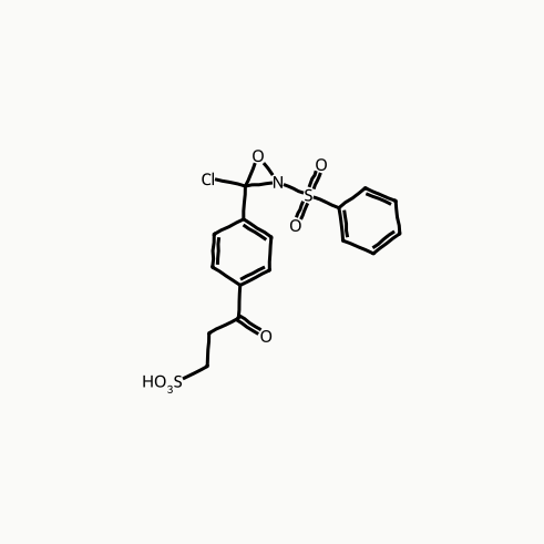 O=C(CCS(=O)(=O)O)c1ccc(C2(Cl)ON2S(=O)(=O)c2ccccc2)cc1